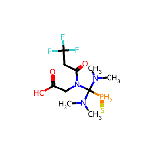 CN(C)C([PH2]=S)(N(C)C)N(CC(=O)O)C(=O)CC(F)(F)F